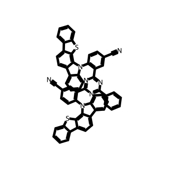 N#Cc1ccc(-n2c3ccccc3c3ccc4c5ccccc5sc4c32)c(-c2nc(-c3ccccc3)nc(-c3cc(C#N)ccc3-n3c4ccccc4c4ccc5c6ccccc6sc5c43)n2)c1